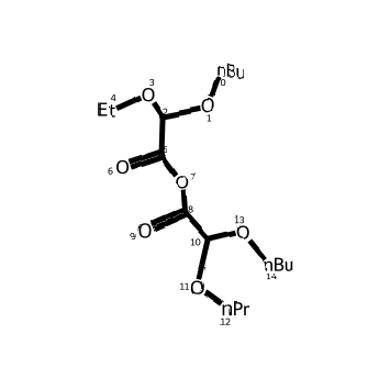 CCCCOC(OCC)C(=O)OC(=O)C(OCCC)OCCCC